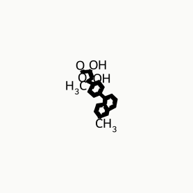 Cc1ccc2c(-c3ccc(C4(C)OC(=O)C(O)=C4O)cc3)cccc2c1